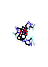 CC1(/N=C(CC#N)\N=C(/N)C(F)(F)F)C2CC3CC4C5C6C7CC8CC9C%10C2C(/N=C(CC#N)\N=C(/N)C(F)F)(C(F)(F)F)C5(C41C3)C6(C%10(C)/N=C(CC#N)\N=C(/N)C(F)F)C897